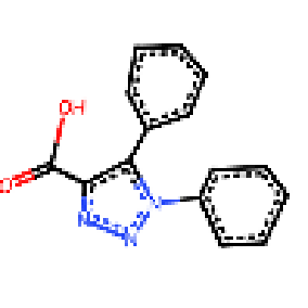 O=C(O)c1nnn(-c2ccccc2)c1-c1ccccc1